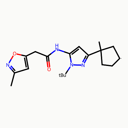 Cc1cc(CC(=O)Nc2cc(C3(C)C[CH]CC3)nn2C(C)(C)C)on1